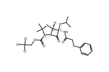 CC(C)O[C@@]1(NC(=O)COc2ccccc2)C(=O)N2[C@@H](C(=O)OCC(Cl)(Cl)Cl)C(C)(C)S[C@@H]21